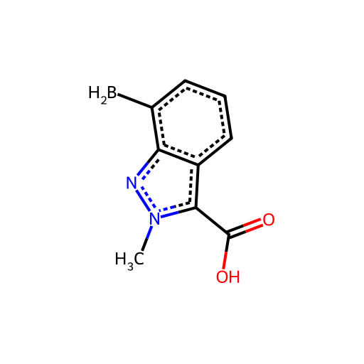 Bc1cccc2c(C(=O)O)n(C)nc12